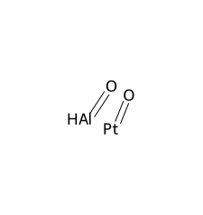 [O]=[AlH].[O]=[Pt]